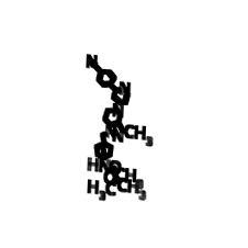 Cc1nn(CC23CCC(NC(=O)OC(C)(C)C)(CC2)CC3)c2c1CN(c1ccnc(-c3ccc(C#N)cc3)c1)CC2